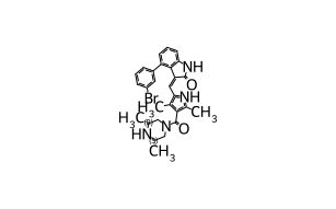 Cc1[nH]c(C=C2C(=O)Nc3cccc(-c4cccc(Br)c4)c32)c(C)c1C(=O)N1C[C@@H](C)N[C@@H](C)C1